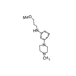 COCCCNc1[c]ccc(N2CCN(C)CC2)c1